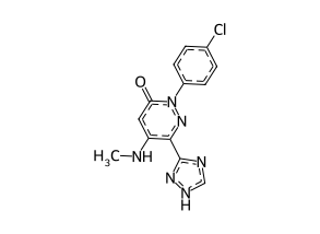 CNc1cc(=O)n(-c2ccc(Cl)cc2)nc1-c1nc[nH]n1